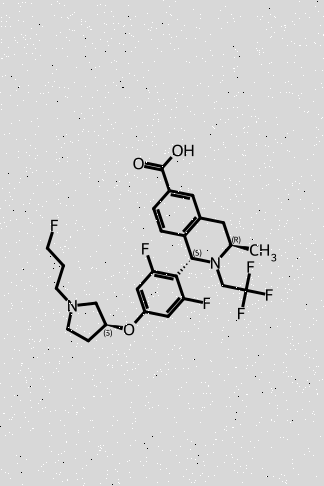 C[C@@H]1Cc2cc(C(=O)O)ccc2[C@@H](c2c(F)cc(O[C@H]3CCN(CCCF)C3)cc2F)N1CC(F)(F)F